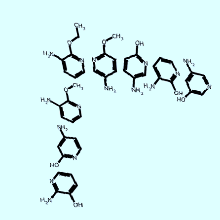 CCOc1ncccc1N.COc1ccc(N)cn1.COc1ncccc1N.Nc1ccc(O)nc1.Nc1cccnc1O.Nc1ccnc(O)c1.Nc1cncc(O)c1.Nc1ncccc1O